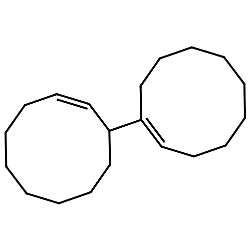 C1=C\C(/C2=C/CCCCCCCC2)CCCCCCC/1